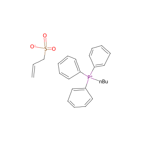 C=CCS(=O)(=O)[O-].CCCC[P+](c1ccccc1)(c1ccccc1)c1ccccc1